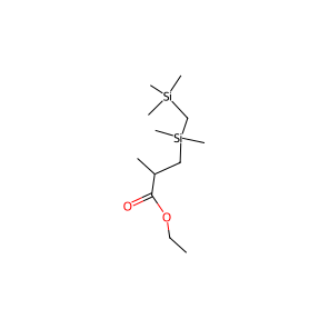 CCOC(=O)C(C)C[Si](C)(C)C[Si](C)(C)C